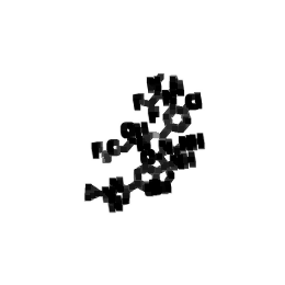 C=NN(/C(=N\C)C(F)F)c1cc([C@@H](CNC(=O)CC(F)(F)F)N2C(=N)N[C@](CC(C)(C)C)(c3ccc(-c4cnn(C5CC5)n4)cc3)C2=O)ccc1Cl